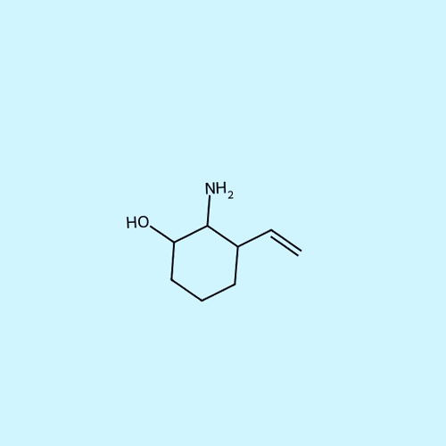 C=CC1CCCC(O)C1N